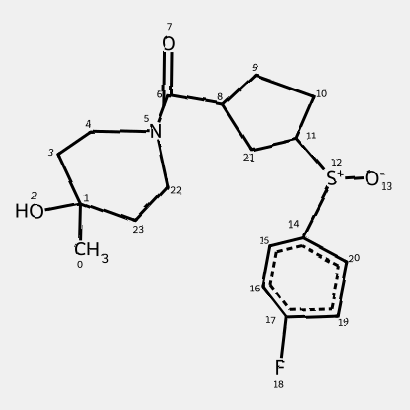 CC1(O)CCN(C(=O)C2CCC([S+]([O-])c3ccc(F)cc3)C2)CC1